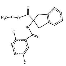 CCOC(=O)C1(NC(=O)c2cc(Cl)cnc2Cl)Cc2ccccc2C1